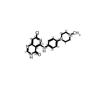 CN1CCN(c2ccc(Nc3nc(Cl)cc4nc[nH]c(=O)c34)cc2)CC1